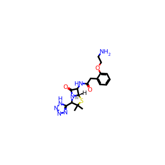 CC1(C)S[C@H]2C(NC(=O)Cc3ccccc3OCCN)C(=O)N2C1c1nnn[nH]1